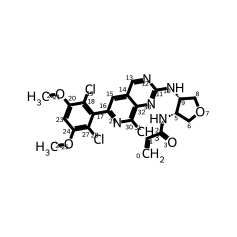 C=CC(=O)N[C@H]1COC[C@H]1Nc1ncc2cc(-c3c(Cl)c(OC)cc(OC)c3Cl)nc(C)c2n1